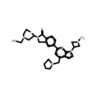 CN1CC(n2ccc3c(CN4CCCC4)cc(-c4ccc5c(c4)CN(C4CCCN(CO)C4)C5=O)nc32)C1